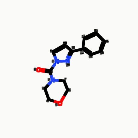 O=C(N1CCOCC1)n1ccc(-c2ccccc2)n1